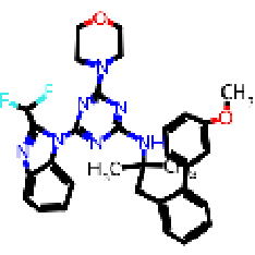 COc1cccc(-c2ccccc2CC(C)(C)Nc2nc(N3CCOCC3)nc(-n3c(C(F)F)nc4ccccc43)n2)c1